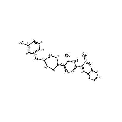 CC(C)(C)[C@H](NC(=O)c1nc2ccccc2nc1O)C(=O)N1CCC(Oc2cccc(F)c2)CC1